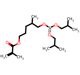 C=C(C)C(=O)OCCCC(C)CO[SiH](OCC(C)C)OCC(C)C